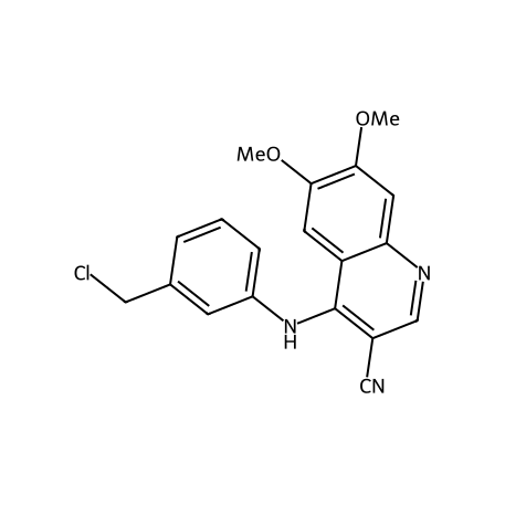 COc1cc2ncc(C#N)c(Nc3cccc(CCl)c3)c2cc1OC